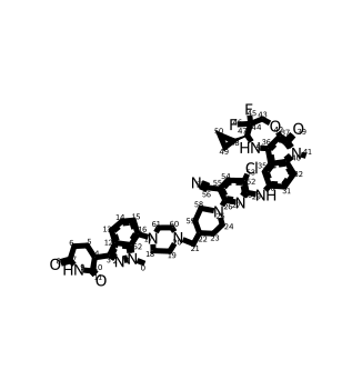 Cn1nc(C2CCC(=O)NC2=O)c2cccc(N3CCN(CC4CCN(c5nc(Nc6ccc7c(c6)c6c(c(=O)n7C)OCC(F)(F)[C@H](C7CC7)N6)c(Cl)cc5C#N)CC4)CC3)c21